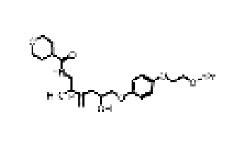 CCCOCCOc1ccc(OCC(O)CN[C@@H](C)CNC(=O)C2CCOCC2)cc1